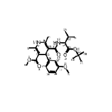 COC(=O)C1=C(C)NC(C)=C(C(=O)NC(C(=O)OC(C)(C)C)C(C)C)C1c1cccc(OC)c1